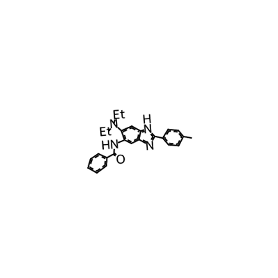 CCN(CC)c1cc2[nH]c(-c3ccc(C)cc3)nc2cc1NC(=O)c1ccccc1